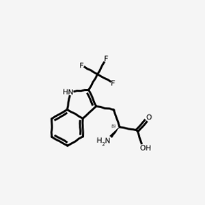 N[C@@H](Cc1c(C(F)(F)F)[nH]c2ccccc12)C(=O)O